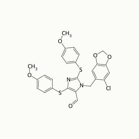 COc1ccc(Sc2nc(Sc3ccc(OC)cc3)n(Cc3cc4c(cc3Cl)OCO4)c2C=O)cc1